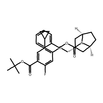 CC(C)(C)OC(=O)c1cc(C2CC2)c(OC[C@@H]2C[C@H]3CC[C@@H](C2)N3C(=O)OCc2ccccc2)cc1F